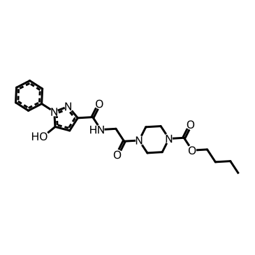 CCCCOC(=O)N1CCN(C(=O)CNC(=O)c2cc(O)n(-c3ccccc3)n2)CC1